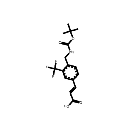 CC(C)(C)OC(=O)NCc1ccc(C=CC(=O)O)cc1C(F)(F)F